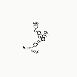 CC=CC(CC(=O)O)c1ccc(OCc2ccc3sc(C)c(-c4ccc(OC5CCS(=O)(=O)CC5)cc4C)c3c2)cc1